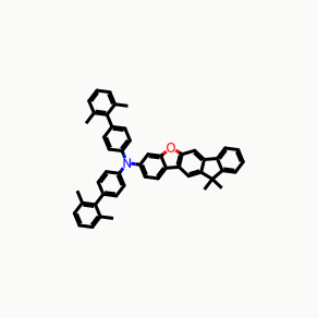 Cc1cccc(C)c1-c1ccc(N(c2ccc(-c3c(C)cccc3C)cc2)c2ccc3c(c2)oc2cc4c(cc23)C(C)(C)c2ccccc2-4)cc1